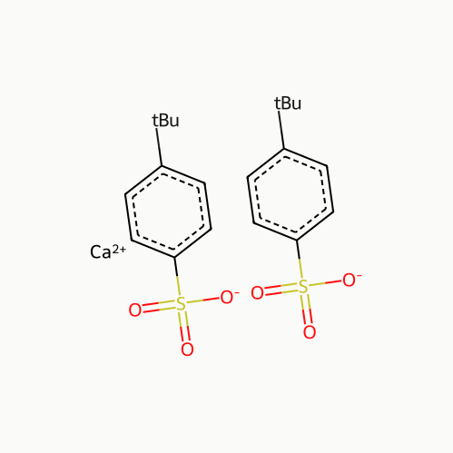 CC(C)(C)c1ccc(S(=O)(=O)[O-])cc1.CC(C)(C)c1ccc(S(=O)(=O)[O-])cc1.[Ca+2]